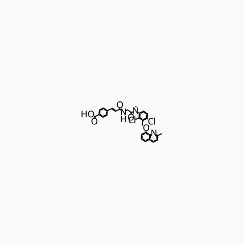 Cc1ccc2cccc(OCc3c(Cl)ccc(N(C)C(=O)CNC(=O)C=Cc4ccc(C(=O)O)cc4)c3Cl)c2n1